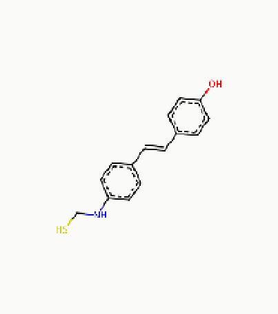 Oc1ccc(/C=C/c2ccc(NCS)cc2)cc1